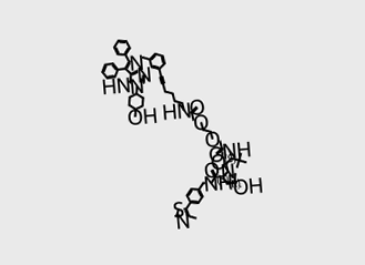 Cc1ncsc1-c1ccc(CNC(=O)[C@@H]2C[C@@H](O)CN2C(=O)[C@@H](NC(=O)COCCOCC(=O)NCCCCC#Cc2cccc(Cn3c(-c4ccccc4)c(-c4ccccc4)c4c(=N)n(C5CCC(O)CC5)cnc43)c2)C(C)(C)C)cc1